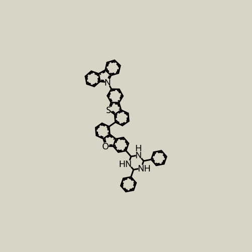 c1ccc(C2NC(c3ccccc3)NC(c3ccc4c(c3)oc3cccc(-c5cccc6c5sc5cc(-n7c8ccccc8c8ccccc87)ccc56)c34)N2)cc1